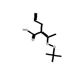 C=CC/C(C(=O)O)=C(\C)OOC(C)(C)C